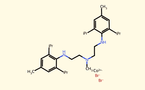 Cc1cc(C(C)C)c(NCCN(C)CCNc2c(C(C)C)cc(C)cc2C(C)C)c(C(C)C)c1.[Br-].[Br-].[Co+2]